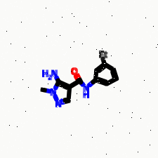 CCc1cccc(NC(=O)c2cnn(C)c2N)c1